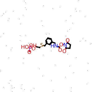 O=C(NCc1cccc(CSCCOP(=O)(O)O)c1)ON1C(=O)CCC1=O